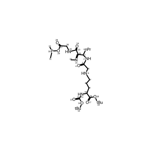 CCCC(NC(=O)CNCCCC(NC(=O)OC(C)(C)C)C(=O)OC(C)(C)C)C(=NC)C(=O)NCC(=O)OP(C)C